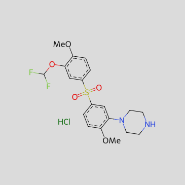 COc1ccc(S(=O)(=O)c2ccc(OC)c(N3CCNCC3)c2)cc1OC(F)F.Cl